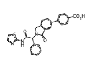 O=C(O)c1ccc(-c2ccc3c(c2)C(=O)N(C(C(=O)Nc2nccs2)c2ccccc2)C3)cc1